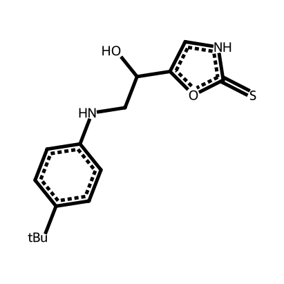 CC(C)(C)c1ccc(NCC(O)c2c[nH]c(=S)o2)cc1